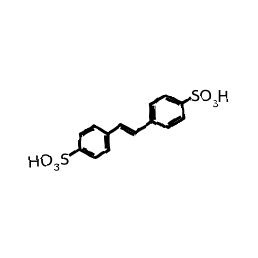 O=S(=O)(O)c1ccc(C=Cc2ccc(S(=O)(=O)O)cc2)cc1